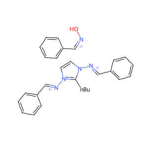 CCCCc1n(/N=C/c2ccccc2)cc[n+]1/N=C/c1ccccc1.O/N=C\c1ccccc1